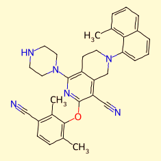 Cc1ccc(C#N)c(C)c1Oc1nc(N2CCNCC2)c2c(c1C#N)CN(c1cccc3cccc(C)c13)CC2